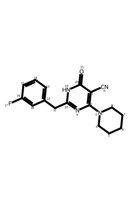 N#Cc1c(N2CCCCC2)nc(Cc2cccc(F)c2)[nH]c1=O